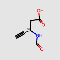 C#C[C@H](CC(=O)O)NC=O